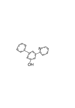 Oc1cc(-c2ccccc2)cc(-c2ccccn2)c1